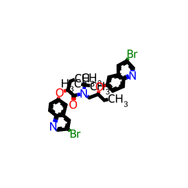 CCC(CN(C(=O)C(CC)Oc1ccc2ncc(Br)cc2c1)C(C)(C)C)Oc1ccc2ncc(Br)cc2c1